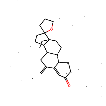 C=C1CC2C(CCC3(CC)C2CCC32CCCO2)C2CCC(=O)C=C12